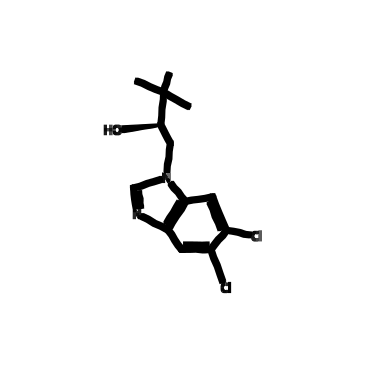 CC(C)(C)[C@H](O)Cn1cnc2cc(Cl)c(Cl)cc21